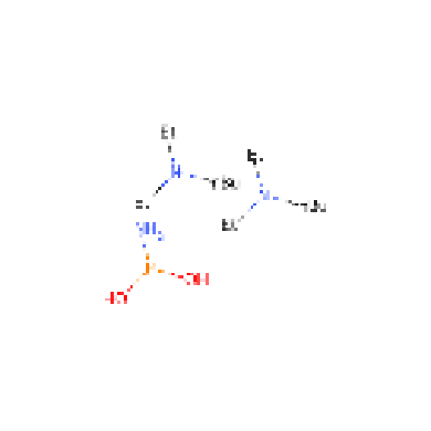 CCCCN(CC)CC.CCCCN(CC)CC.NP(O)O